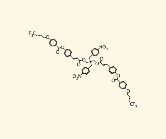 O=C(/C=C/c1ccc(OC(=O)c2ccc(OCCCC(F)(F)F)cc2)cc1)OCC(COC(=O)/C=C/c1ccc(OC(=O)c2ccc(OCCCC(F)(F)F)cc2)cc1)(Cc1ccc([N+](=O)[O-])cc1)Cc1ccc([N+](=O)[O-])cc1